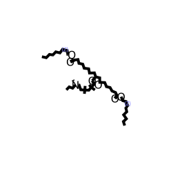 CCCCCC/C=C\COC(=O)CCCCCCCC(CCCCCCCC(=O)OC/C=C\CCCCCC)OC(=O)C(C)(C)CC(C)(C)CCN(C)CCC